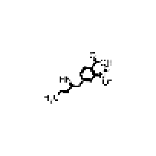 CCCC(=N)Cc1ccc(C(=O)O)c([N+](=O)[O-])c1